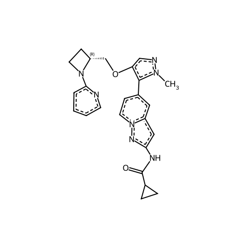 Cn1ncc(OC[C@H]2CCN2c2ccccn2)c1-c1ccn2nc(NC(=O)C3CC3)cc2c1